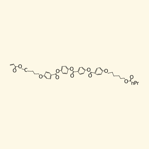 C=CC(=O)OCCCCCCOc1ccc(C(=O)Oc2ccc(OC(=O)c3ccc(OC(=O)c4ccc(OCCCCCCOC(=O)CCC)cc4)cc3)cc2)cc1